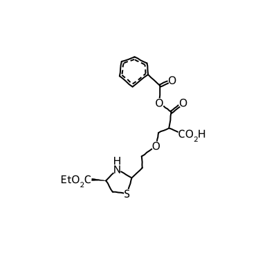 CCOC(=O)[C@@H]1CSC(CCOCC(C(=O)O)C(=O)OC(=O)c2ccccc2)N1